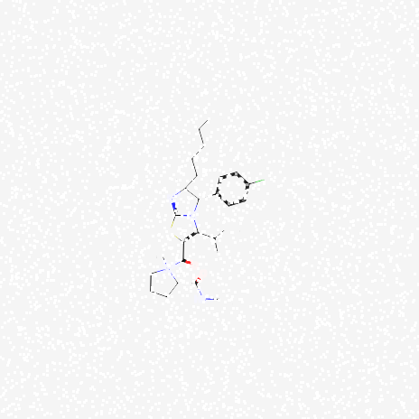 CCCCC[C@]1(C)N=C2SC(C(=O)[N+]3(C)CCC[C@H]3C(=O)NC)=C(C(C)C)N2[C@@H]1c1ccc(Cl)cc1